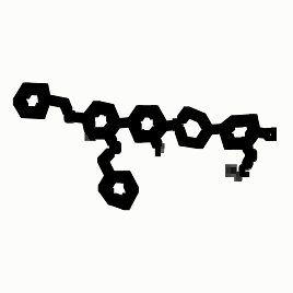 COc1cc(C2CCN(c3ccc(-c4ccc(OCc5ccccc5)nc4OCc4ccccc4)cc3F)CC2)ccc1Cl